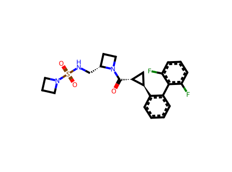 O=C([C@@H]1C[C@H]1c1ccccc1-c1c(F)cccc1F)N1CC[C@H]1CNS(=O)(=O)N1CCC1